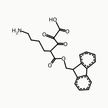 NCCCCC(C(=O)OCC1c2ccccc2-c2ccccc21)C(=O)C(=O)C(=O)O